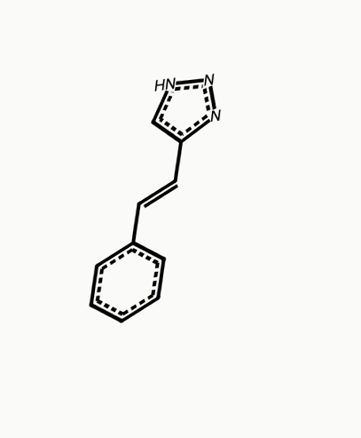 C(=Cc1c[nH]nn1)c1ccccc1